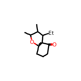 CCC1C2=C(CCCC2=O)OC(C)C1C